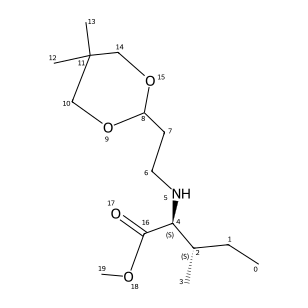 CC[C@H](C)[C@H](NCCC1OCC(C)(C)CO1)C(=O)OC